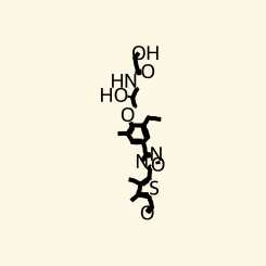 CCc1cc(-c2noc(-c3sc(C=O)c(C)c3C)n2)cc(C)c1OC[C@@H](O)CNC(=O)CO